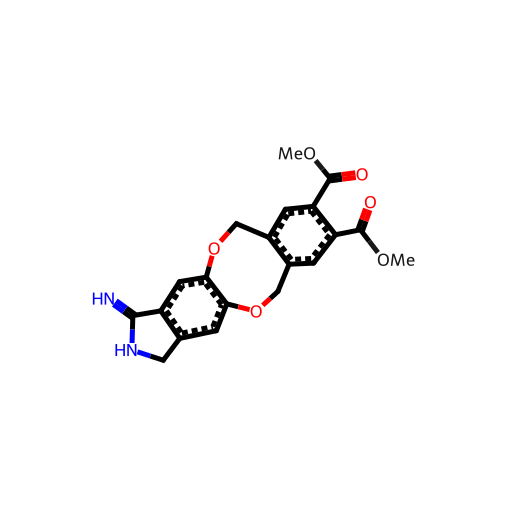 COC(=O)c1cc2c(cc1C(=O)OC)COc1cc3c(cc1OC2)CNC3=N